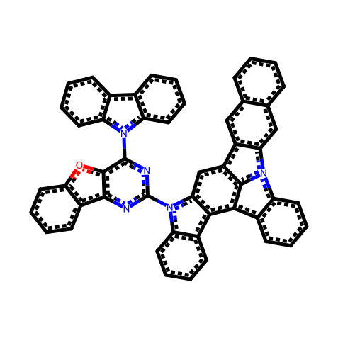 c1ccc2cc3c(cc2c1)c1cc2c(c4ccccc4n2-c2nc(-n4c5ccccc5c5ccccc54)c4oc5ccccc5c4n2)c2c4ccccc4n3c12